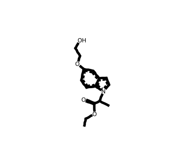 CCOC(=O)C(C)n1ccc2cc(OCCO)ccc21